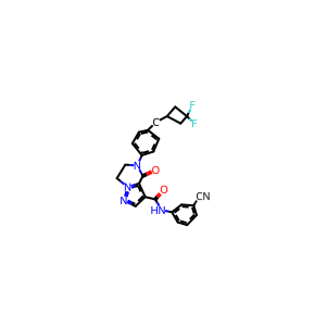 N#Cc1cccc(NC(=O)c2cnn3c2C(=O)N(c2ccc(CC4CC(F)(F)C4)cc2)CC3)c1